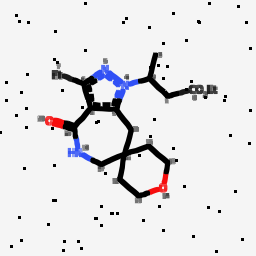 CCOC(=O)CC(C)n1nc(CC)c2c1CC1(CCOCC1)CNC2=O